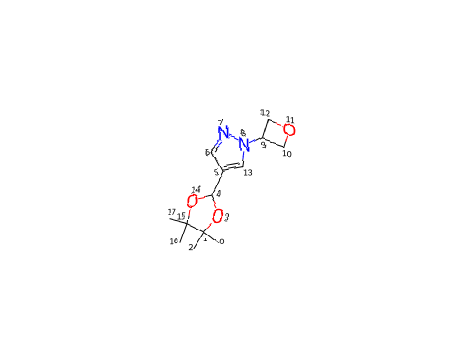 CC1(C)OC(c2cnn(C3COC3)c2)OC1(C)C